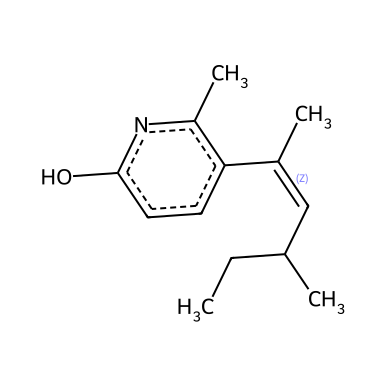 CCC(C)/C=C(/C)c1ccc(O)nc1C